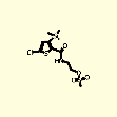 C[Si](C)(C)c1cc(Cl)sc1C(=O)NCCOS(C)(=O)=O